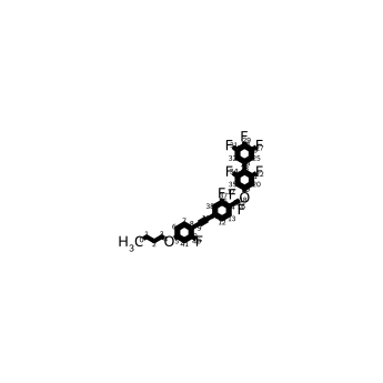 CCCCOc1ccc(C#Cc2ccc(C(F)(F)Oc3cc(F)c(-c4cc(F)c(F)c(F)c4)c(F)c3)c(F)c2)c(F)c1